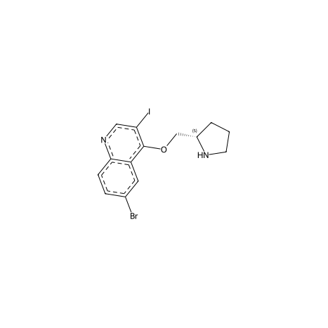 Brc1ccc2ncc(I)c(OC[C@@H]3CCCN3)c2c1